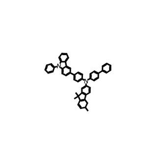 CC1C=CC2=C(C1)c1ccc(N(c3ccc(-c4ccccc4)cc3)c3ccc(-c4ccc5c(c4)c4ccccc4n5-c4ccccc4)cc3)cc1C2(C)C